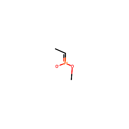 C/C=[P+](\[O-])OC